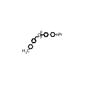 CCC[C@H]1CC[C@H](c2ccc(C(F)(F)OCCc3ccc([C@H]4CC[C@H](C)CC4)cc3)cc2)CC1